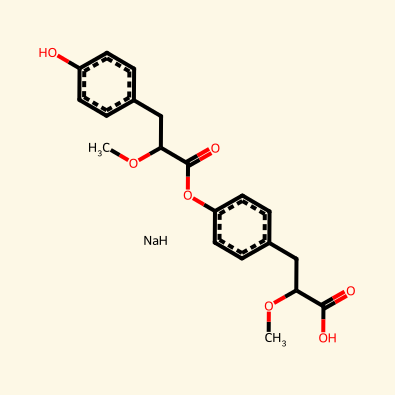 COC(Cc1ccc(OC(=O)C(Cc2ccc(O)cc2)OC)cc1)C(=O)O.[NaH]